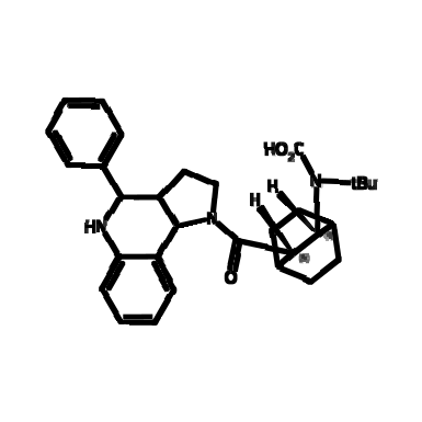 CC(C)(C)N(C(=O)O)[C@@H]1C2CCC(CC2)[C@@H]1C(=O)N1CCC2C(c3ccccc3)Nc3ccccc3C21